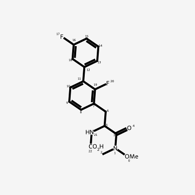 CON(C)C(=O)C(Cc1cccc(-c2cccc(F)c2)c1F)NC(=O)O